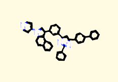 c1ccc(-c2ccc(-c3cc(-c4cccc(-c5cn(-c6ccncc6)c6ccc7ccccc7c56)c4)nc(-c4ccccc4)n3)cc2)cc1